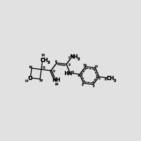 Cc1ccc(N/C(N)=C\C(=N)C2(C)COC2)cc1